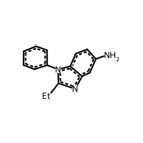 CCc1nc2cc(N)ccc2n1-c1c[c]ccc1